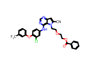 N#Cc1cc2ncnc(Nc3ccc(Oc4cccc(C(F)(F)F)c4)c(Cl)c3)c2n1CCOCCOC(=O)c1ccccc1